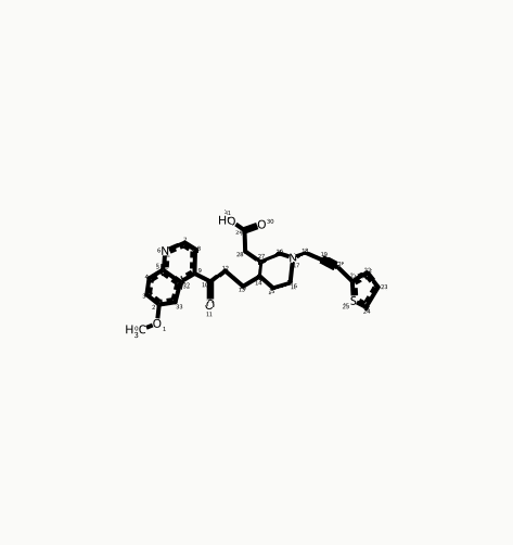 COc1ccc2nccc(C(=O)CCC3CCN(CC#Cc4cccs4)CC3CC(=O)O)c2c1